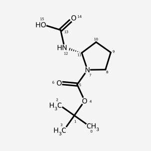 CC(C)(C)OC(=O)N1CCC[C@H]1NC(=O)O